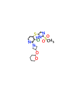 CS(=O)(=O)c1ncc(Sc2ccnc(N3CC(OC4CCCCO4)C3)c2Cl)[nH]1